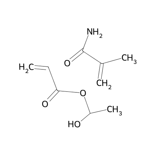 C=C(C)C(N)=O.C=CC(=O)OC(C)O